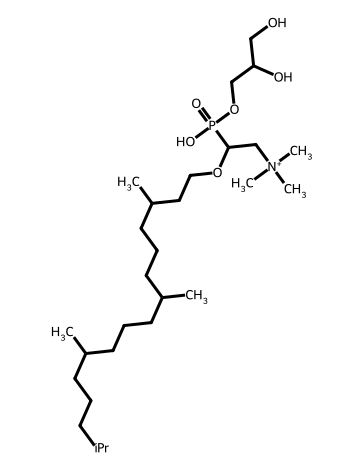 CC(C)CCCC(C)CCCC(C)CCCC(C)CCOC(C[N+](C)(C)C)P(=O)(O)OCC(O)CO